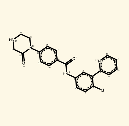 O=C(Nc1ccc(Cl)c(-c2ccccn2)c1)c1ccc(N2CCNCC2=O)cc1